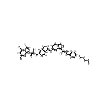 CCCCCOc1ccc(CNC(=O)c2ncn3ccc(CC4CCc5cc(CNC(=O)c6nc(C)n7c(C)cc(C)nc67)ccc54)nc23)cc1